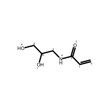 C=CC(=O)NCC(O)CO